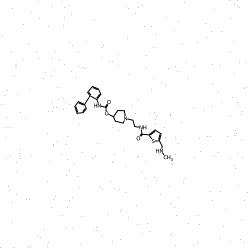 CNCc1ccc(C(=O)NCCN2CCC(OC(=O)Nc3ccccc3-c3ccccc3)CC2)s1